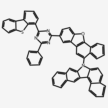 c1ccc(-c2nc(-c3ccc4oc5c6ccccc6c(-n6c7cc8ccccc8cc7c7c8ccccc8ccc76)cc5c4c3)nc(-c3cccc4c3sc3ccccc34)n2)cc1